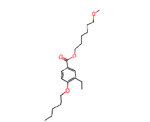 CCCCCOc1ccc(C(=O)OCCCCCCOC)cc1CC